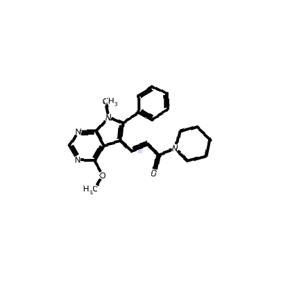 COc1ncnc2c1c(/C=C/C(=O)N1CCCCC1)c(-c1ccccc1)n2C